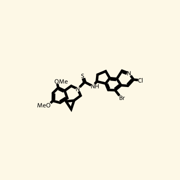 COc1ccc(CN(CC2CC2)C(=S)NC2CCc3c2cc(Br)c2cc(Cl)ncc32)c(OC)c1